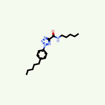 CCCCCNC(=O)c1nnn(-c2ccc(CCCCC)cc2)n1